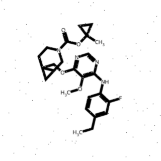 CCc1ccc(Nc2ncnc(OCC34CCN(C(=O)OC5(C)CC5)CC3C4)c2OC)c(F)c1